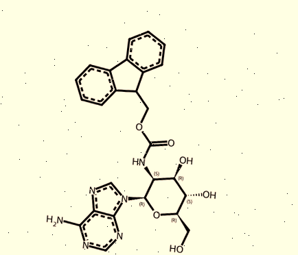 Nc1ncnc2c1ncn2[C@@H]1O[C@H](CO)[C@@H](O)[C@H](O)[C@@H]1NC(=O)OCC1c2ccccc2-c2ccccc21